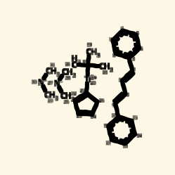 C(C=Cc1ccccc1)=Cc1ccccc1.C[C](C)(C)[Ti+2][C]1=CC=CC1.C[N-]C.C[N-]C